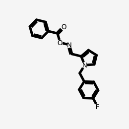 O=C(O/N=C/c1cccn1Cc1ccc(F)cc1)c1ccccc1